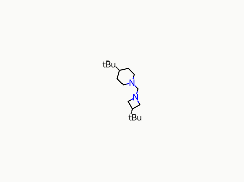 CC(C)(C)C1CCN(CN2CC(C(C)(C)C)C2)CC1